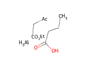 CCCC(=O)O.CCOC(=O)CC(C)=O.[AlH3]